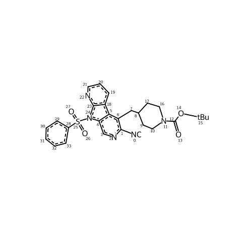 [C-]#[N+]c1ncc2c(c1CC1CCN(C(=O)OC(C)(C)C)CC1)c1cccnc1n2S(=O)(=O)c1ccccc1